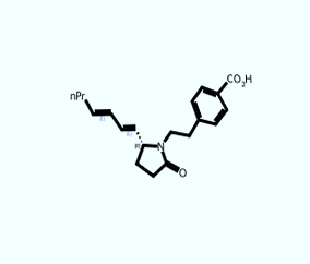 CCC/C=C/C=C/[C@H]1CCC(=O)N1CCc1ccc(C(=O)O)cc1